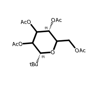 CC(=O)OCC1O[C@H](C(C)(C)C)C(OC(C)=O)C(OC(C)=O)[C@@H]1OC(C)=O